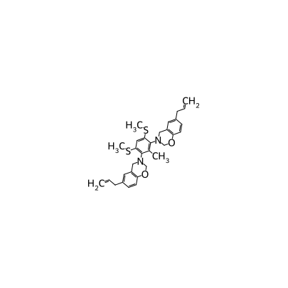 C=CCc1ccc2c(c1)CN(c1c(SC)cc(SC)c(N3COc4ccc(CC=C)cc4C3)c1C)CO2